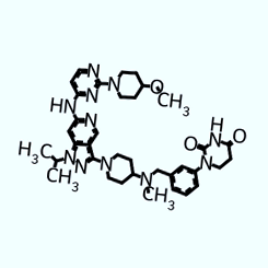 COC1CCN(c2nccc(Nc3cc4c(cn3)c(N3CCC(N(C)Cc5cccc(N6CCC(=O)NC6=O)c5)CC3)nn4C(C)C)n2)CC1